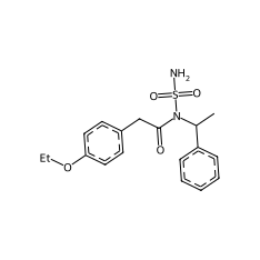 CCOc1ccc(CC(=O)N(C(C)c2ccccc2)S(N)(=O)=O)cc1